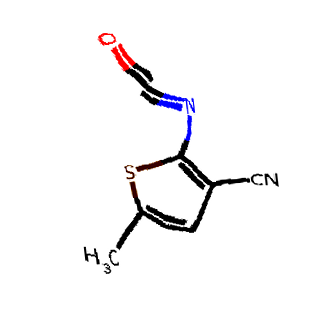 Cc1cc(C#N)c(N=C=O)s1